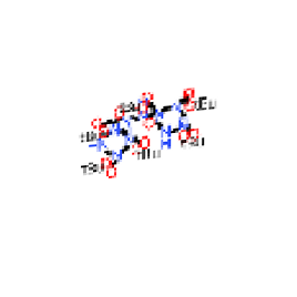 CC(C)(C)OC(=O)CC(C(=O)NCCNC(=O)C(CC(=O)OC(C)(C)C)N1CCNCCN(CC(=O)OC(C)(C)C)CCN(CC(=O)OC(C)(C)C)CC1)N1CCNCCN(CC(=O)OC(C)(C)C)CCN(CC(=O)OC(C)(C)C)CC1